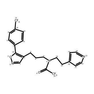 O=C(N(CCCc1cnoc1-c1ccc(C(F)(F)F)cc1)CCc1ccncc1)C(F)(F)F